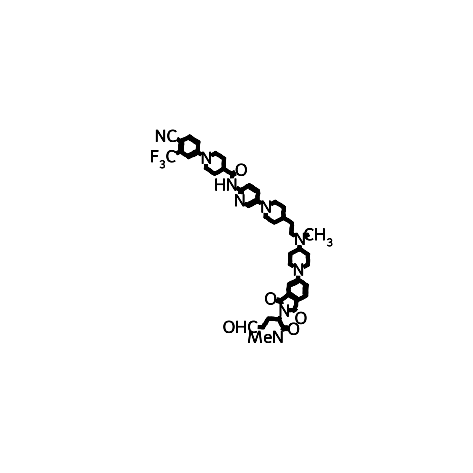 CNC(=O)C(CCC=O)N1C(=O)c2ccc(N3CCC(N(C)CCC4CCN(c5ccc(NC(=O)C6CCN(c7ccc(C#N)c(C(F)(F)F)c7)CC6)nc5)CC4)CC3)cc2C1=O